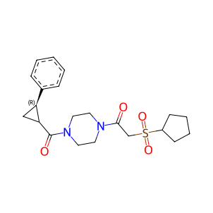 O=C(CS(=O)(=O)C1CCCC1)N1CCN(C(=O)C2C[C@H]2c2ccccc2)CC1